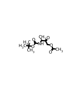 CC(=O)OCC(=O)[C@H](C)NC(=O)OC(C)(C)C